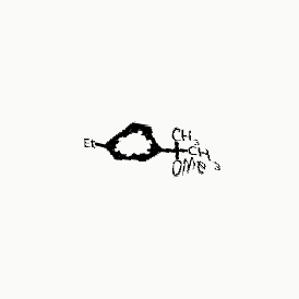 CCc1ccc(C(C)(C)OC)cc1